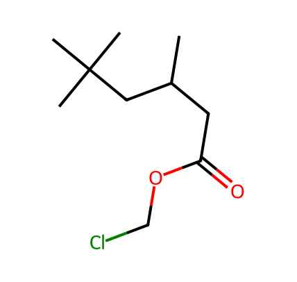 CC(CC(=O)OCCl)CC(C)(C)C